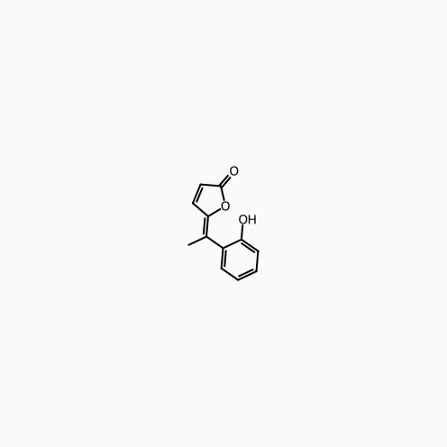 C/C(=C1\C=CC(=O)O1)c1ccccc1O